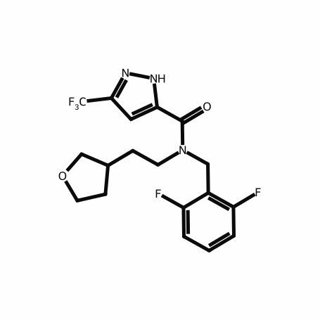 O=C(c1cc(C(F)(F)F)n[nH]1)N(CCC1CCOC1)Cc1c(F)cccc1F